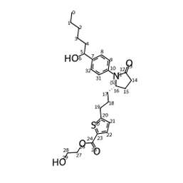 CCCCCC(O)c1ccc(N2C(=O)CC[C@@H]2CCCc2ccc(C(=O)OCCO)s2)cc1